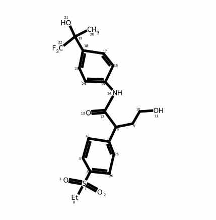 CCS(=O)(=O)c1ccc(C(CCO)C(=O)Nc2ccc(C(C)(O)C(F)(F)F)cc2)cc1